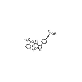 C[C@@H](OC(=O)Nc1c(-c2ccc(C#CC(=O)O)cc2)cnn1C)c1ccccc1